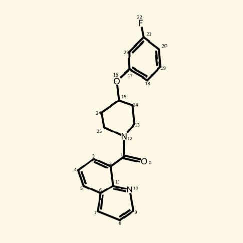 O=C(c1cccc2cccnc12)N1CCC(Oc2cccc(F)c2)CC1